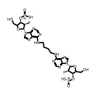 O=[PH](S)O[C@@H]1C(CO)O[C@@H](n2cnc3c(NCCCCNc4ncnc5c4ncn5[C@@H]4OC(CO)[C@@H](O[PH](=O)S)[C@H]4F)ncnc32)[C@@H]1F